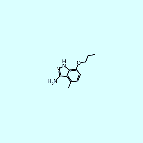 CCCOc1ccc(C)c2c(N)n[nH]c12